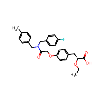 CCO[C@@H](Cc1ccc(OCC(=O)N(Cc2ccc(C)cc2)Cc2ccc(F)cc2)cc1)C(=O)O